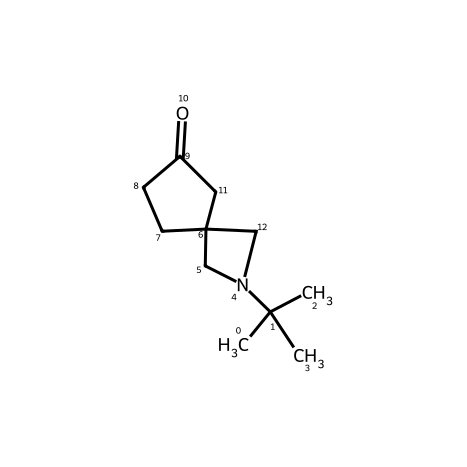 CC(C)(C)N1CC2(CCC(=O)C2)C1